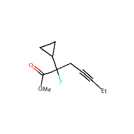 CCC#CCC(F)(C(=O)OC)C1CC1